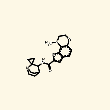 CN1CCOc2ccc3cc(C(=O)NC4C5CCN(CC5)C45CC5)sc3c21